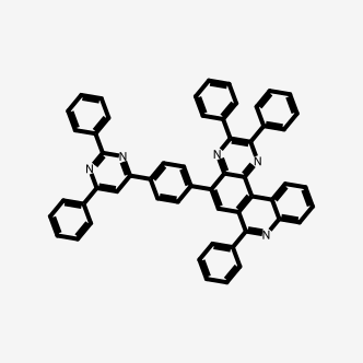 c1ccc(-c2cc(-c3ccc(-c4cc5c(-c6ccccc6)nc6ccccc6c5c5nc(-c6ccccc6)c(-c6ccccc6)nc45)cc3)nc(-c3ccccc3)n2)cc1